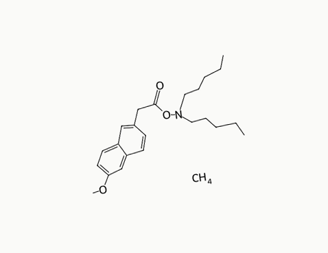 C.CCCCCN(CCCCC)OC(=O)Cc1ccc2cc(OC)ccc2c1